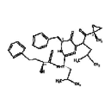 CC(C)CC(NC(=O)[C@H](Cc1ccccc1)NC(=O)[C@H](CC(C)C)NC(=O)[C@@H](O)CCc1ccccc1)C(=O)[C@@]1(C)CO1